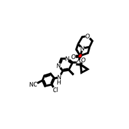 Cc1c(Nc2ccc(C#N)cc2Cl)ncnc1OC1CC2COCC(C1)N2C(=O)OC1(C)CC1